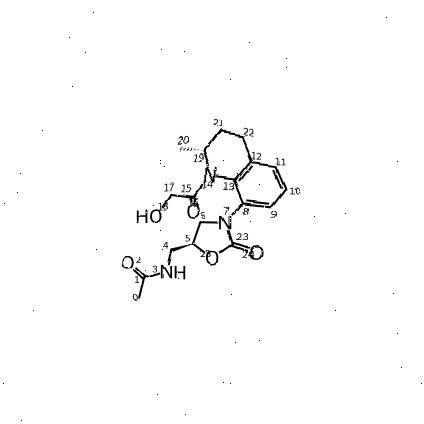 CC(=O)NC[C@H]1CN(c2cccc3c2N(C(=O)CO)[C@H](C)CC3)C(=O)O1